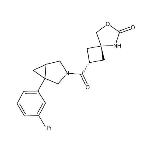 CC(C)c1cccc(C23CC2CN(C(=O)[C@H]2C[C@]4(COC(=O)N4)C2)C3)c1